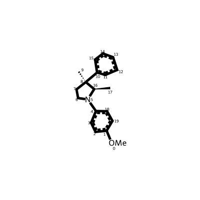 COc1ccc(N2CC[C@@](C)(c3ccccc3)[C@H]2C)cc1